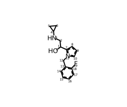 OC(CNC1CC1)c1cccn1Cc1ccccc1F